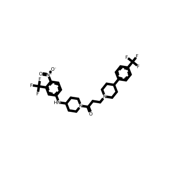 O=C(CCN1CCC(c2ccc(C(F)(F)F)cc2)CC1)N1CCC(Nc2ccc([N+](=O)[O-])c(C(F)(F)F)c2)CC1